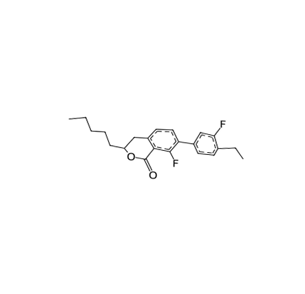 CCCCCC1Cc2ccc(-c3ccc(CC)c(F)c3)c(F)c2C(=O)O1